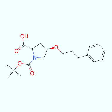 CC(C)(C)OC(=O)N1C[C@H](OCCCc2ccccc2)C[C@H]1C(=O)O